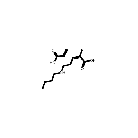 C=CC(=O)O.CCCCNCCC=C(C)C(=O)O